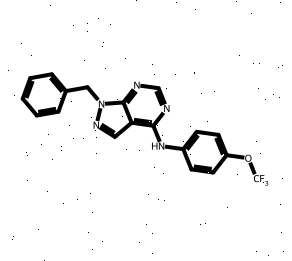 FC(F)(F)Oc1ccc(Nc2ncnc3c2cnn3Cc2ccccc2)cc1